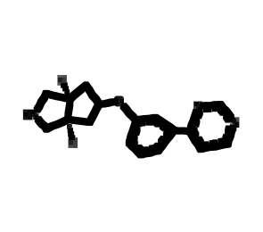 c1cc(OC2C[C@H]3CNC[C@H]3C2)cc(-c2ccncn2)c1